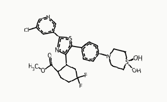 COC(=O)C1CCC(F)(F)CC1c1nc(-c2cncc(Cl)c2)sc1-c1ccc(N2CCS(O)(O)CC2)cc1